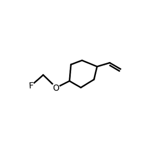 C=CC1CCC(OCF)CC1